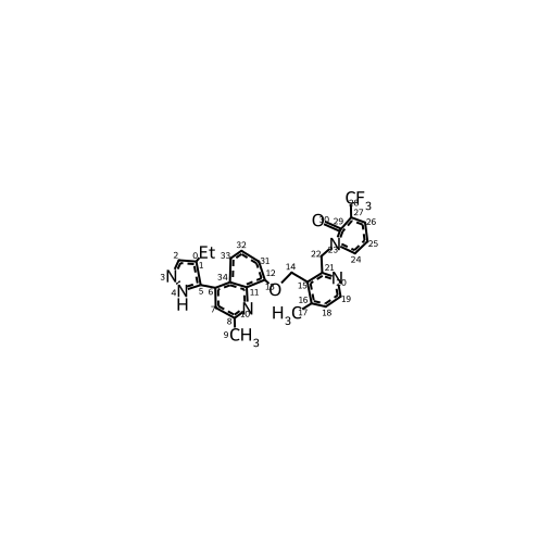 CCc1cn[nH]c1-c1cc(C)nc2c(OCc3c(C)ccnc3Cn3cccc(C(F)(F)F)c3=O)cccc12